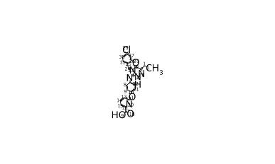 CCc1n[nH]/c(=N\c2ccc(Oc3cccc(C(=O)O)n3)cc2)n(Cc2ccc(Cl)cc2)c1=O